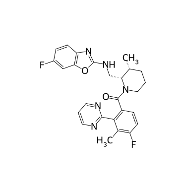 Cc1c(F)ccc(C(=O)N2CCC[C@@H](C)[C@H]2CNc2nc3ccc(F)cc3o2)c1-c1ncccn1